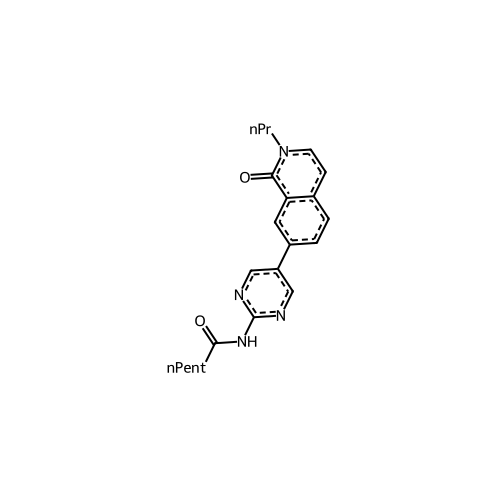 CCCCCC(=O)Nc1ncc(-c2ccc3ccn(CCC)c(=O)c3c2)cn1